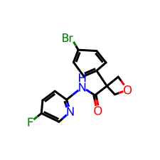 O=C(Nc1ccc(F)cn1)C1(c2ccc(Br)cc2)COC1